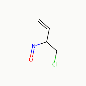 C=CC(CCl)N=O